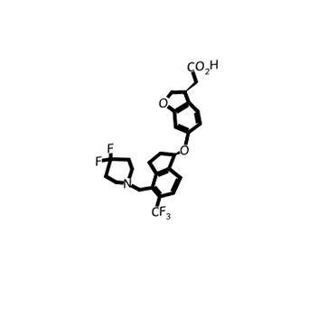 O=C(O)C[C@@H]1COc2cc(O[C@@H]3CCc4c3ccc(C(F)(F)F)c4CN3CCC(F)(F)CC3)ccc21